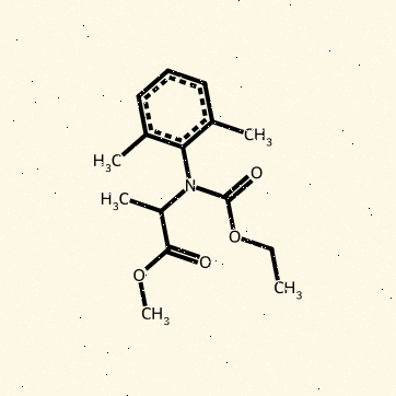 CCOC(=O)N(c1c(C)cccc1C)C(C)C(=O)OC